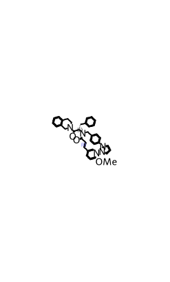 COc1ccc(/C=C/C(=O)N(Cc2ccc(-n3cccn3)cc2)[C@@H](Cc2ccccc2)C(=O)N2CCc3ccccc3C2)cn1